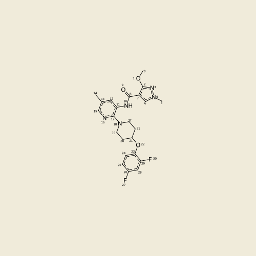 COc1nn(C)cc1C(=O)Nc1cc(C)cnc1N1CCC(Oc2ccc(F)cc2F)CC1